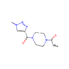 CCCCC(=O)N1CCN(C(=O)c2cn(C)nn2)CC1